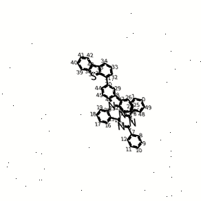 c1ccc(-c2nc(-c3ccccc3)nc(-c3ccccc3-n3c4ccccc4c4cc(-c5cccc6c5sc5ccccc56)ccc43)n2)cc1